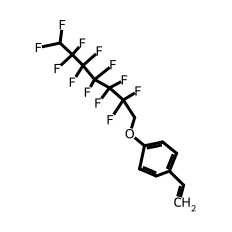 C=Cc1ccc(OCC(F)(F)C(F)(F)C(F)(F)C(F)(F)C(F)(F)C(F)F)cc1